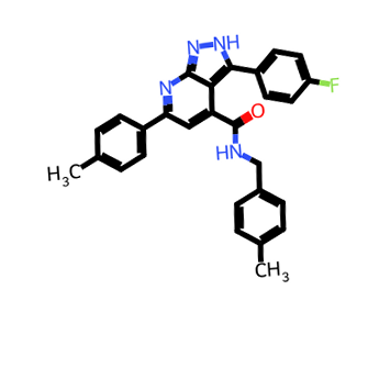 Cc1ccc(CNC(=O)c2cc(-c3ccc(C)cc3)nc3n[nH]c(-c4ccc(F)cc4)c23)cc1